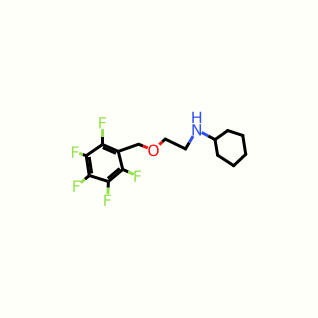 Fc1c(F)c(F)c(COCCNC2CCCCC2)c(F)c1F